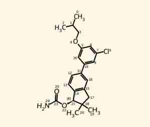 CC(C)COc1cc(Cl)cc(-c2ccc3c(c2)CC(C)(C)[C@H]3OC(N)=O)c1